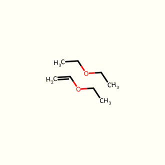 C=COCC.CCOCC